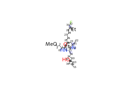 C=C(CCOC)C1NC(=C\CC[C@]2(O)C=C(C)C2)/C(CC)=N/C(=C/C)C[C@@H](CCCCC/C(=C/F)CC)O1